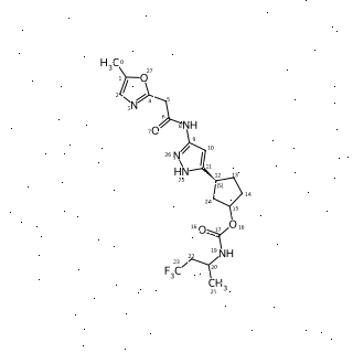 Cc1cnc(CC(=O)Nc2cc([C@H]3CCC(OC(=O)NC(C)CC(F)(F)F)C3)[nH]n2)o1